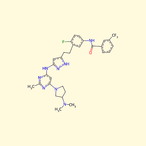 Cc1nc(Nc2cc(CCc3cc(NC(=O)c4cccc(C(F)(F)F)c4)ccc3F)[nH]n2)cc(N2CCC(N(C)C)C2)n1